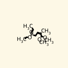 CCOP(CC=C(C)C(OC)OC)OCC